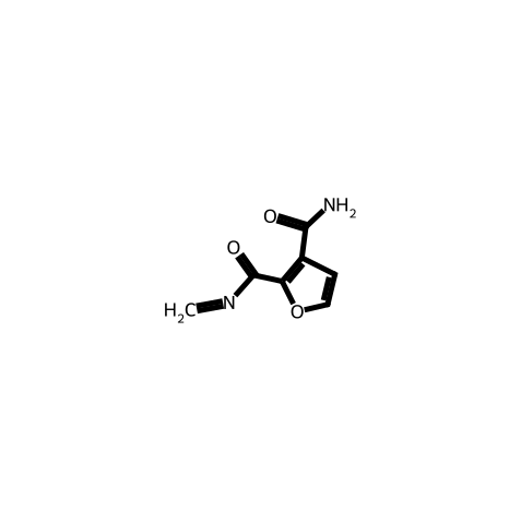 C=NC(=O)c1occc1C(N)=O